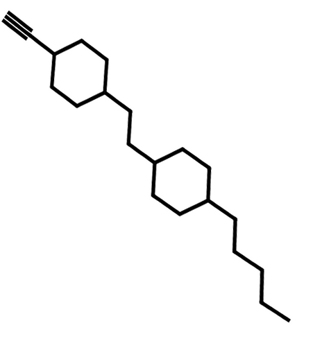 C#CC1CCC(CCC2CCC(CCCCC)CC2)CC1